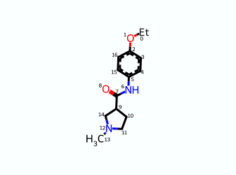 CCOc1ccc(NC(=O)C2CCN(C)C2)cc1